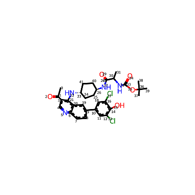 CC(=O)c1cnc2ccc(-c3cc(Cl)c(O)c(Cl)c3)cc2c1N[C@H]1CC[C@H](NC(=O)C(C)NC(=O)OC(C)(C)C)CC1